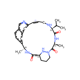 CC(C)[C@@H]1NC/C=C\c2cc3cc(ccc3cn2)[C@@H](C)NC(=O)[C@@H]2CCCN(N2)C(=O)[C@H](C)NC1=O